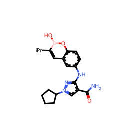 CC(C)C1=Cc2cc(Nc3nn(C4CCCC4)cc3C(N)=O)ccc2OB1O